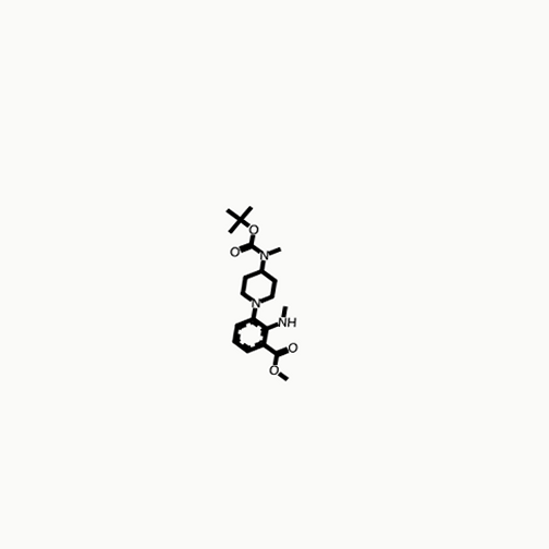 CNc1c(C(=O)OC)cccc1N1CCC(N(C)C(=O)OC(C)(C)C)CC1